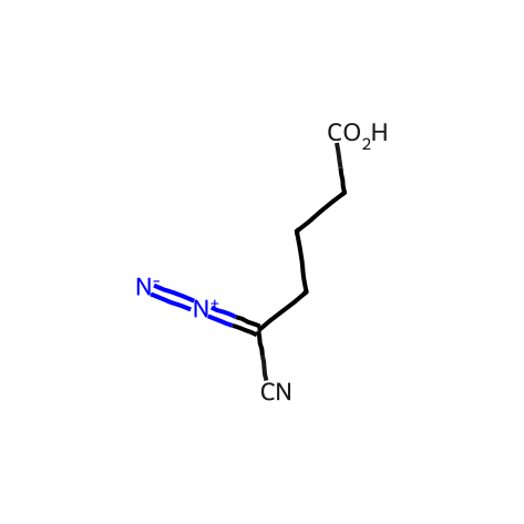 N#CC(CCCC(=O)O)=[N+]=[N-]